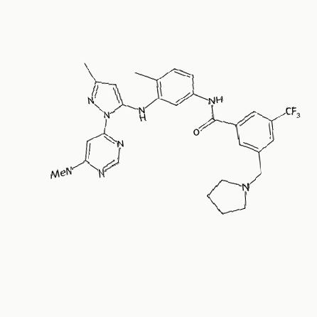 CNc1cc(-n2nc(C)cc2Nc2cc(NC(=O)c3cc(CN4CCCC4)cc(C(F)(F)F)c3)ccc2C)ncn1